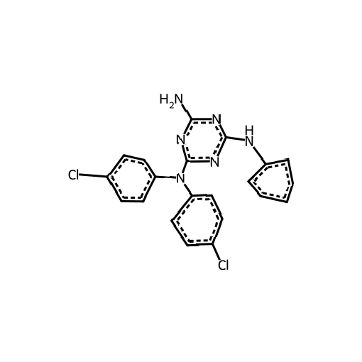 Nc1nc(Nc2ccccc2)nc(N(c2ccc(Cl)cc2)c2ccc(Cl)cc2)n1